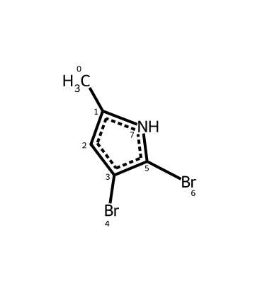 Cc1cc(Br)c(Br)[nH]1